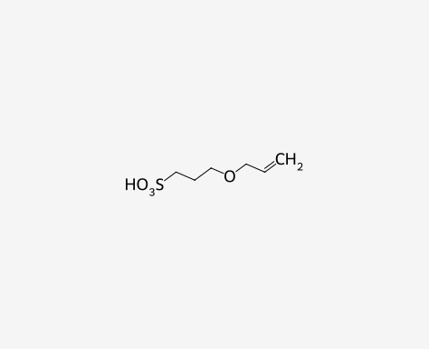 C=CCOCCCS(=O)(=O)O